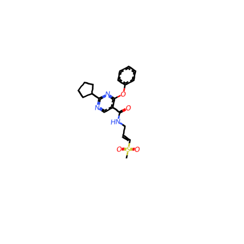 CS(=O)(=O)C=CCNC(=O)c1cnc(C2CCCC2)nc1Oc1ccccc1